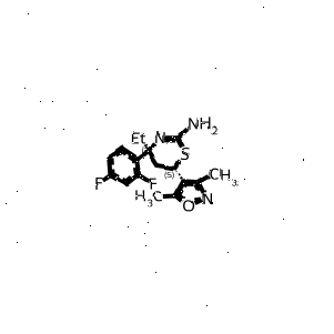 CC[C@@]1(c2ccc(F)cc2F)C[C@@H](c2c(C)noc2C)SC(N)=N1